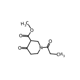 CCC(=O)N1CCC(=O)C(C(=O)OC)C1